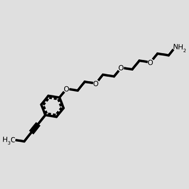 CCC#Cc1ccc(OCCOCCOCCOCCN)cc1